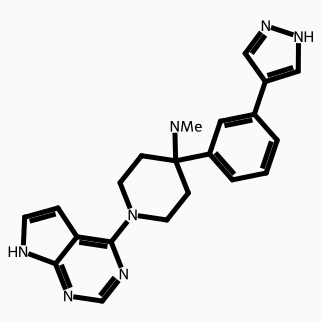 CNC1(c2cccc(-c3cn[nH]c3)c2)CCN(c2ncnc3[nH]ccc23)CC1